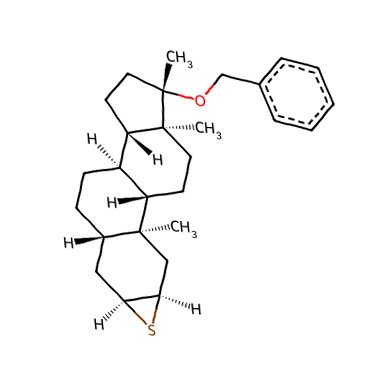 C[C@]12C[C@H]3S[C@H]3C[C@@H]1CC[C@@H]1[C@@H]2CC[C@@]2(C)[C@H]1CC[C@]2(C)OCc1ccccc1